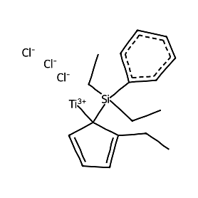 CCC1=CC=C[C]1([Ti+3])[Si](CC)(CC)c1ccccc1.[Cl-].[Cl-].[Cl-]